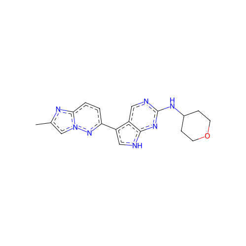 Cc1cn2nc(-c3c[nH]c4nc(NC5CCOCC5)ncc34)ccc2n1